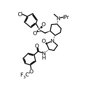 CC(C)N(C)[C@@H]1CC[C@H](N2CC[C@H](NC(=O)c3cccc(OC(F)(F)F)c3)C2=O)[C@@H](CS(=O)(=O)c2ccc(Cl)cc2)C1